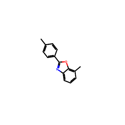 Cc1ccc(-c2nc3cccc(C)c3o2)cc1